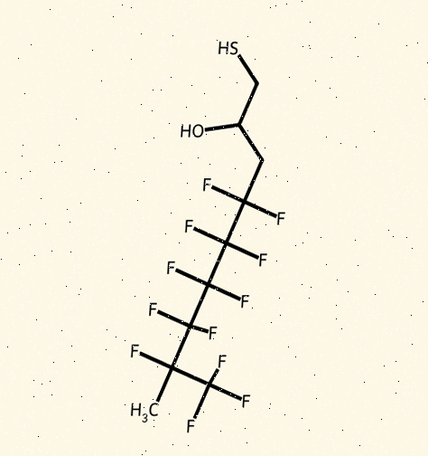 CC(F)(C(F)(F)F)C(F)(F)C(F)(F)C(F)(F)C(F)(F)CC(O)CS